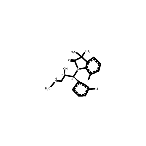 CNC[C@@H](O)[C@H](c1cccc(Cl)c1)N1C(=O)C(C)(C)c2cccc(F)c21